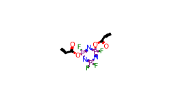 C=CC(=O)OP1(F)=NP(F)(F)=NP(F)(OC(=O)C=C)=N1